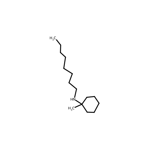 CCCCCCCCNC1(C)CCCCC1